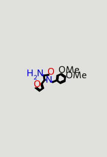 COc1ccc(CN2C(=O)C(N)C2c2ccco2)cc1OC